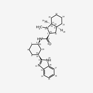 CN1[C@H](C(=O)N[C@@H]2CCC[C@H](c3nc4ccccc4[nH]3)C2)C[C@@H]2CCCC[C@@H]21